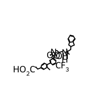 Cc1cc(CCC(=O)O)ccc1-c1cc(C(F)(F)F)cc(S(=O)(=O)N(C)CC(O)CNC(C)(C)CC2Cc3ccccc3C2)c1